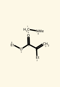 C=C(CC)C(=O)OCC.CNC